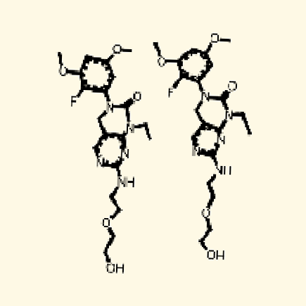 CCN1C(=O)N(c2cc(OC)cc(OC)c2F)Cc2cnc(NCCOCCO)nc21.CCN1C(=O)N(c2cc(OC)cc(OC)c2F)Cc2cnc(NCCOCCO)nc21